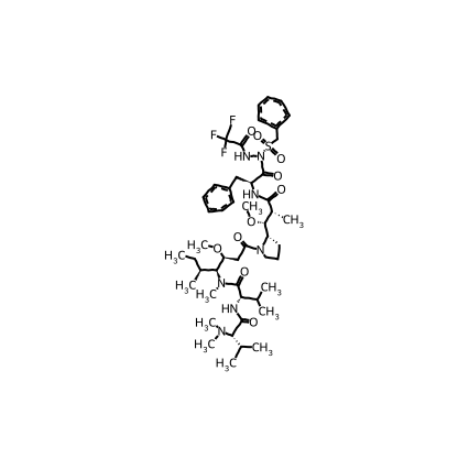 CC[C@H](C)[C@@H]([C@H](CC(=O)N1CCC[C@H]1[C@H](OC)[C@@H](C)C(=O)N[C@@H](Cc1ccccc1)C(=O)N(NC(=O)C(F)(F)F)S(=O)(=O)Cc1ccccc1)OC)N(C)C(=O)[C@@H](NC(=O)[C@H](C(C)C)N(C)C)C(C)C